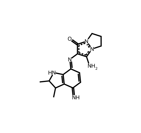 CC1NC2=C(C(=N)C=CC2=Nc2c(N)n3n(c2=O)CCC3)C1C